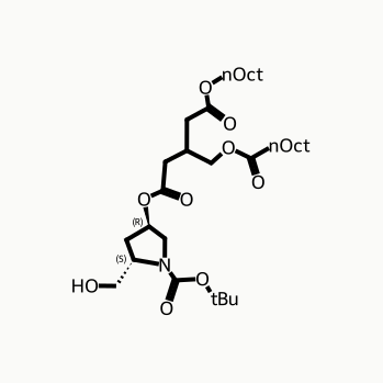 CCCCCCCCOC(=O)CC(COC(=O)CCCCCCCC)CC(=O)O[C@@H]1C[C@@H](CO)N(C(=O)OC(C)(C)C)C1